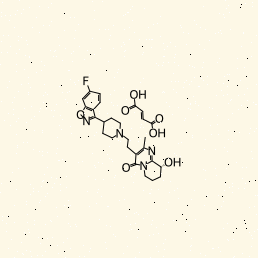 Cc1nc2n(c(=O)c1CCN1CCC(c3noc4cc(F)ccc34)CC1)CCC[C@H]2O.O=C(O)/C=C/C(=O)O